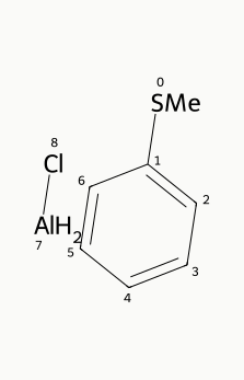 CSc1ccccc1.[AlH2][Cl]